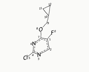 Fc1cnc(Cl)nc1OCC1CC1